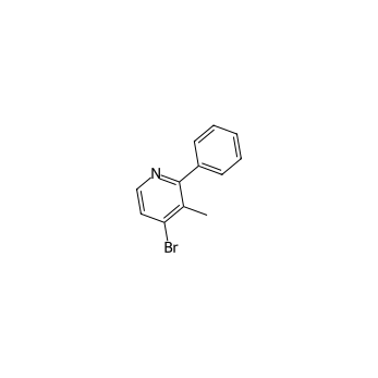 Cc1c(Br)ccnc1-c1ccccc1